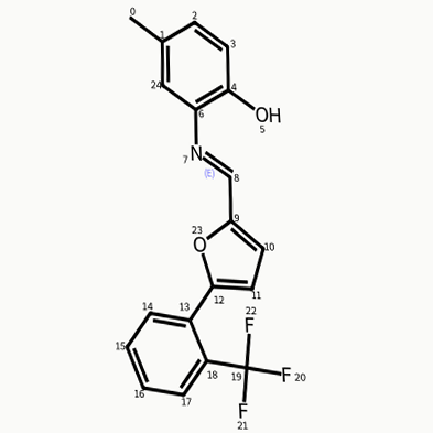 Cc1ccc(O)c(/N=C/c2ccc(-c3ccccc3C(F)(F)F)o2)c1